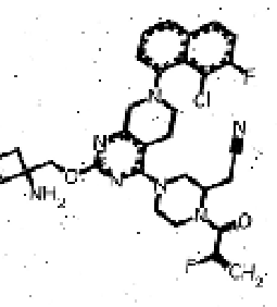 C=C(F)C(=O)N1CCN(c2nc(OCC3(N)CCC3)nc3c2CCN(c2cccc4ccc(F)c(Cl)c24)C3)CC1CC#N